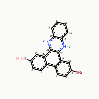 Bc1ccc2c3ccc(Br)cc3c3nc4ccccc4nc3c2c1